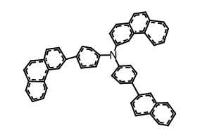 c1ccc2cc(-c3ccc(N(c4ccc(-c5ccc6ccc7ccccc7c6c5)cc4)c4ccc5ccc6ccccc6c5c4)cc3)ccc2c1